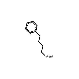 CCCCCCCCCc1ncccn1